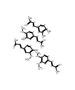 COc1cc(C=CC(=O)O)ccc1O.COc1ccc(C=CC(=O)O)cc1O.COc1ccc(C=CC(=O)O)cc1OC.O=C(O)C=Cc1ccc(O)c(O)c1